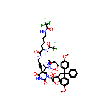 COc1ccc(C(CC23COC(C2OP(OCCC#N)N(C(C)C)C(C)C)[C@H](n2cc(C#CCNC(=O)C(CCCCNC(=O)C(F)(F)F)NC(=O)C(F)(F)F)c(=O)[nH]c2=O)O3)(c2ccccc2)c2ccc(OC)cc2)cc1